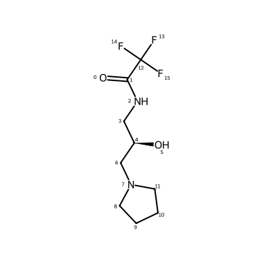 O=C(NC[C@@H](O)CN1CCCC1)C(F)(F)F